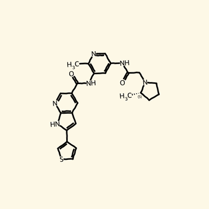 Cc1ncc(NC(=O)CN2CCC[C@@H]2C)cc1NC(=O)c1cnc2[nH]c(-c3ccsc3)cc2c1